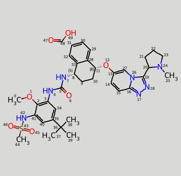 COc1c(NC(=O)N[C@H]2CC[C@@H](Oc3ccc4nnc(C5CCCN5C)n4c3)c3ccccc32)cc(C(C)(C)C)cc1NS(C)(=O)=O.O=CO